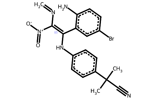 C=N/C(=C(/Nc1ccc(C(C)(C)C#N)cc1)c1cc(Br)ccc1N)[N+](=O)[O-]